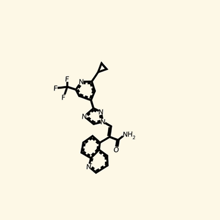 NC(=O)/C(=C/n1cnc(-c2cc(C3CC3)nc(C(F)(F)F)c2)n1)c1cccc2ncccc12